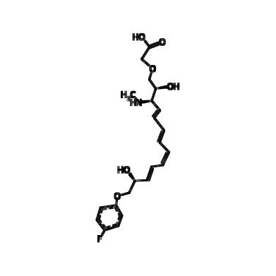 CN[C@H](/C=C/C=C/C=C\C=C\[C@H](O)COc1ccc(F)cc1)[C@H](O)COCC(=O)O